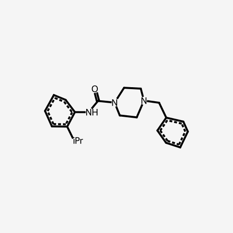 CC(C)c1ccccc1NC(=O)N1CCN(Cc2ccccc2)CC1